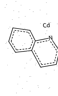 [Cd].c1ccc2ncccc2c1